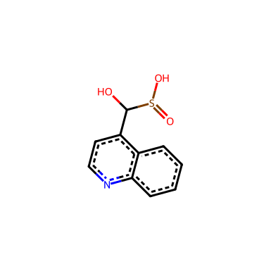 O=S(O)C(O)c1ccnc2ccccc12